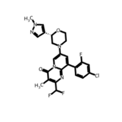 Cc1c(C(F)F)nc2c(-c3ccc(Cl)cc3F)cc(N3CCO[C@@H](c4cnn(C)c4)C3)cn2c1=O